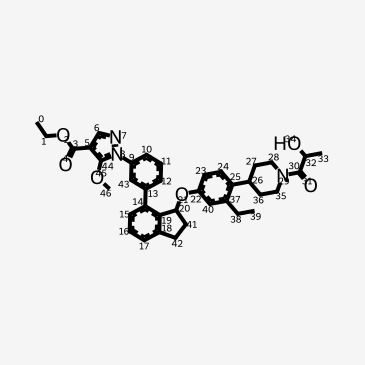 CCOC(=O)c1cnn(-c2cccc(-c3cccc4c3C(Oc3ccc(C5CCN(C(=O)C(C)O)CC5)c(CC)c3)CC4)c2)c1OC